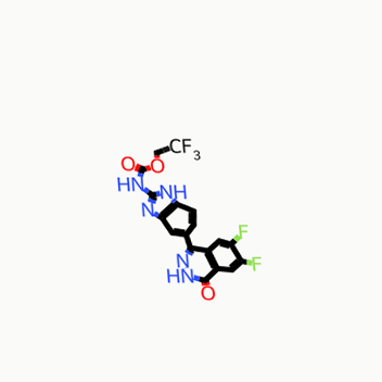 O=C(Nc1nc2cc(-c3n[nH]c(=O)c4cc(F)c(F)cc34)ccc2[nH]1)OCC(F)(F)F